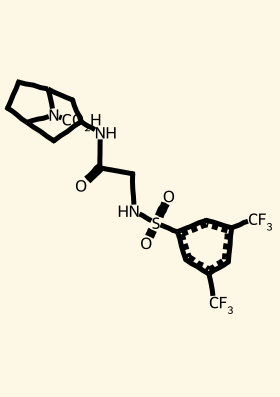 O=C(CNS(=O)(=O)c1cc(C(F)(F)F)cc(C(F)(F)F)c1)NC1CC2CCC(C1)N2C(=O)O